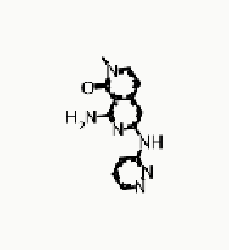 Cn1ccc2cc(Nc3cccnn3)nc(N)c2c1=O